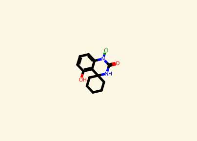 O=C1NC2(CCCCC2)c2c(O)cccc2N1Cl